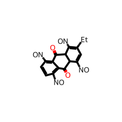 CCC1=C(N=O)C2C(=O)c3c(N=O)ccc(N=O)c3C(=O)C2C(N=O)=C1